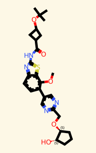 COc1c(-c2cnc(CO[C@H]3CCC[C@@H]3O)nc2)ccc2nc(NC(=O)C3CC(OC(C)(C)C)C3)sc12